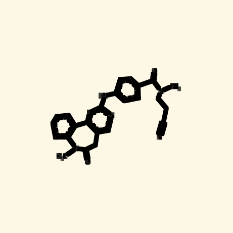 CN(CCC#N)C(=O)c1ccc(Nc2ncc3c(n2)-c2ccccc2N(C)C(=O)C3)cc1